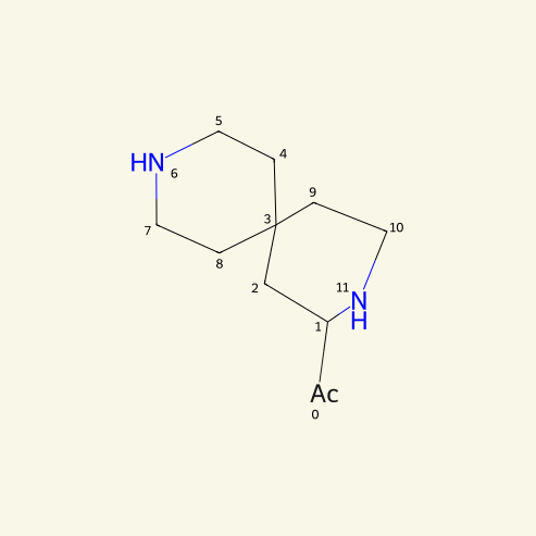 CC(=O)C1CC2(CCNCC2)CCN1